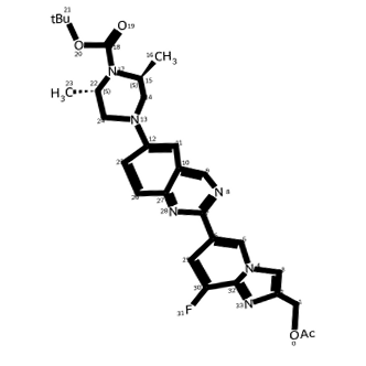 CC(=O)OCc1cn2cc(-c3ncc4cc(N5C[C@H](C)N(C(=O)OC(C)(C)C)[C@@H](C)C5)ccc4n3)cc(F)c2n1